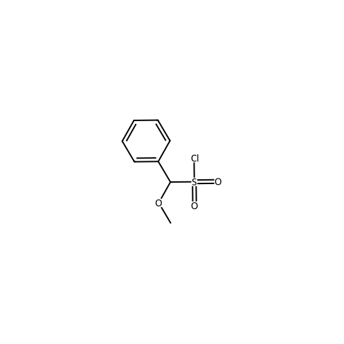 COC(c1ccccc1)S(=O)(=O)Cl